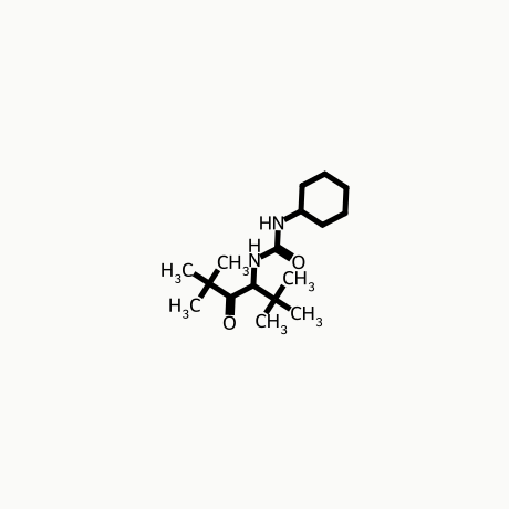 CC(C)(C)C(=O)C(NC(=O)NC1CCCCC1)C(C)(C)C